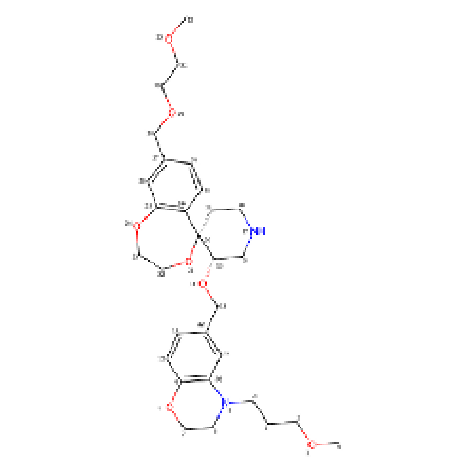 COCCCN1CCOc2ccc(CO[C@H]3CNCC[C@@]34OCCOc3cc(COCCOC)ccc34)cc21